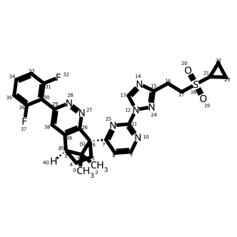 CC1(C)[C@H]2CC[C@]1(c1ccnc(-n3cnc(CCS(=O)(=O)C4CC4)n3)n1)c1nnc(-c3c(F)cccc3F)cc12